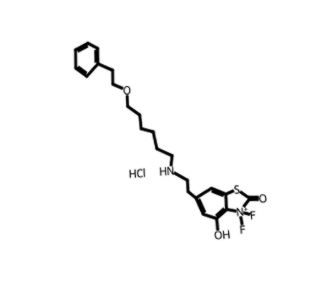 Cl.O=C1Sc2cc(CCNCCCCCCOCCc3ccccc3)cc(O)c2[N+]1(F)F